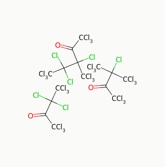 O=C(C(Cl)(Cl)Cl)C(Cl)(C(Cl)(Cl)Cl)C(Cl)(Cl)C(Cl)(Cl)Cl.O=C(C(Cl)(Cl)Cl)C(Cl)(C(Cl)(Cl)Cl)C(Cl)(Cl)Cl.O=C(C(Cl)(Cl)Cl)C(Cl)(Cl)C(Cl)(Cl)Cl